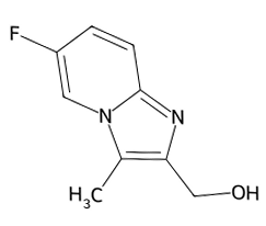 Cc1c(CO)nc2ccc(F)cn12